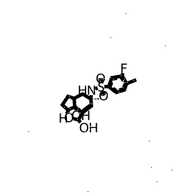 Cc1ccc(S(=O)(=O)N[C@@]2(C)C=C3C(O)O[C@@H]4CCC(C2)[C@]34O)cc1F